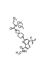 CCN(C(=O)N1CC2(CCN(c3cc(C(F)(F)F)c4scc(C(=O)NC)c4n3)CC2)C1)C(C)C